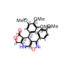 COc1ccc(-c2noc3c2C(c2cc(OC)c(OC)c(OC)c2)C2=C(COC2=O)N3)cc1